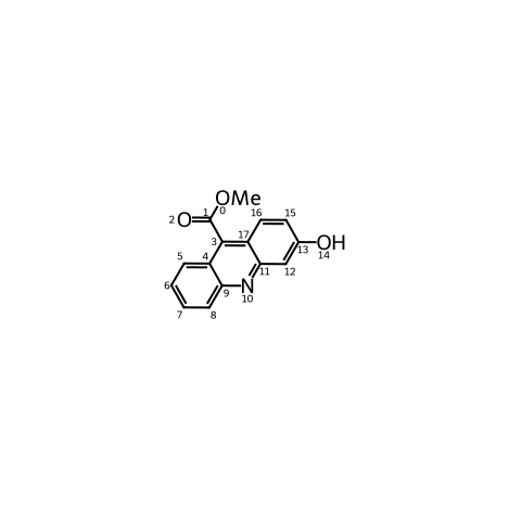 COC(=O)c1c2ccccc2nc2cc(O)ccc12